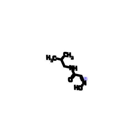 CC(C)CNC(=O)/C=N\O